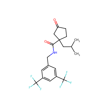 CC(C)CC1(C(=O)NCc2cc(C(F)(F)F)cc(C(F)(F)F)c2)CCC(=O)C1